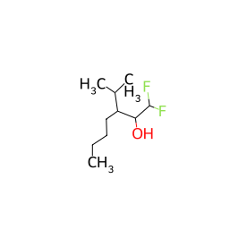 CCCCC(C(C)C)C(O)C(F)F